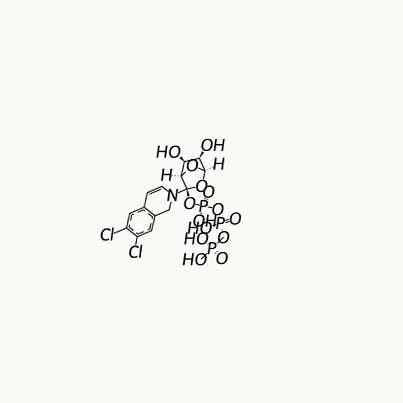 O=P(O)(O)OP(=O)(O)OP(=O)(O)O[C@]1(N2C=Cc3cc(Cl)c(Cl)cc3C2)O[C@H]2O[C@@H]1[C@@H](O)[C@H]2O